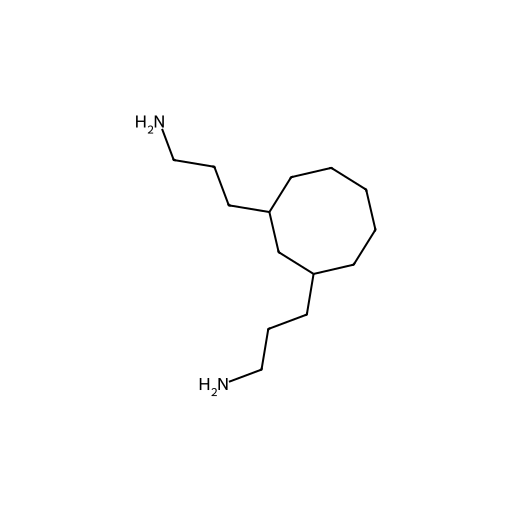 NCCCC1CCCCCC(CCCN)C1